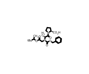 CC(OC(=O)CN(C(=O)OCc1ccccc1)[C@@H](C)C(=O)N1CCC[C@H]1C(=O)O)C(C)(C)C